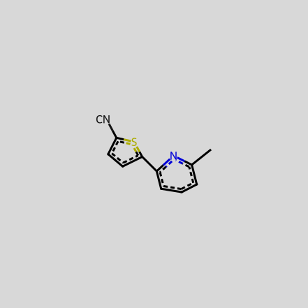 [C-]#[N+]c1ccc(-c2cccc(C)n2)s1